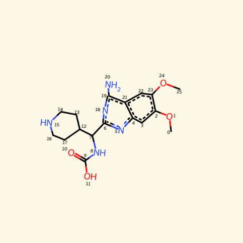 COc1cc2nc(C(NC(=O)O)C3CCNCC3)nc(N)c2cc1OC